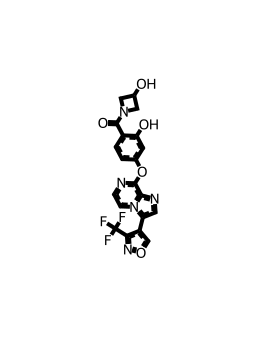 O=C(c1ccc(Oc2nccn3c(-c4conc4C(F)(F)F)cnc23)cc1O)N1CC(O)C1